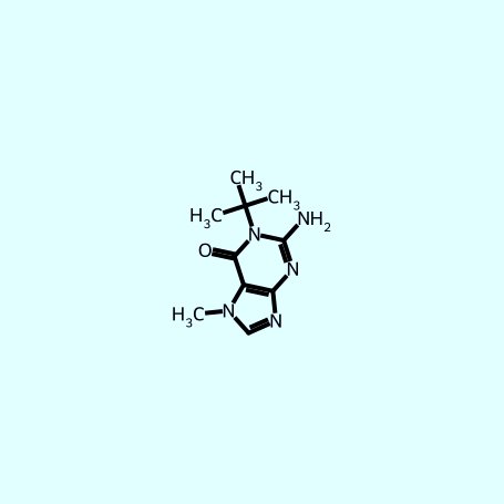 Cn1cnc2nc(N)n(C(C)(C)C)c(=O)c21